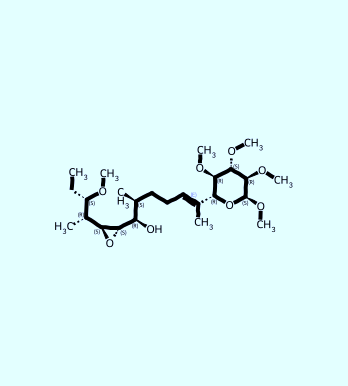 CC[C@H](OC)[C@@H](C)[C@@H]1O[C@H]1[C@H](O)[C@@H](C)CC/C=C(\C)[C@H]1O[C@H](OC)[C@H](OC)[C@@H](OC)[C@@H]1OC